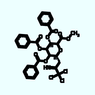 COC(=O)C1O[C@H](CC(=N)C(Cl)(Cl)Cl)C(OC(=O)c2ccccc2)C(OC(=O)c2ccccc2)[C@@H]1OC(=O)c1ccccc1